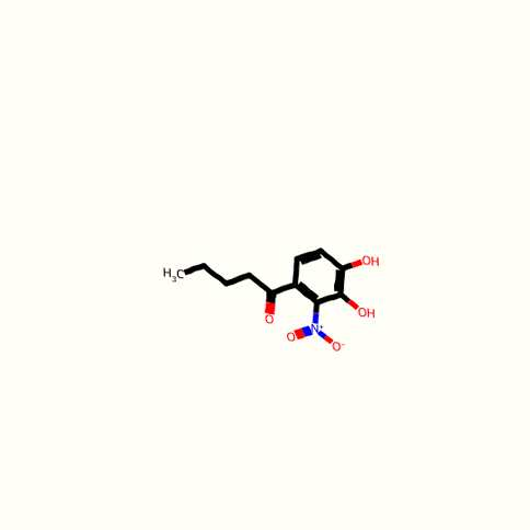 CCCCC(=O)c1ccc(O)c(O)c1[N+](=O)[O-]